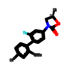 CCc1ccc(-c2ccc(N3C[C@H](CC)OC3=O)cc2F)c(OC)c1